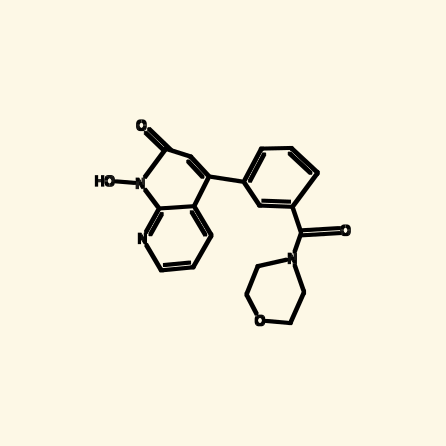 O=C(c1cccc(-c2cc(=O)n(O)c3ncccc23)c1)N1CCOCC1